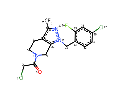 O=C(CCl)N1CCc2c(C(F)(F)F)nn(Cc3ccc(Cl)cc3F)c2C1